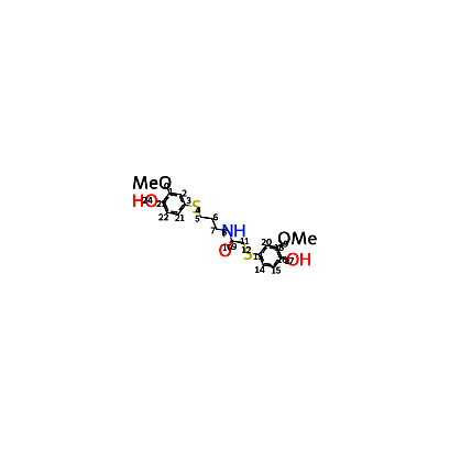 COc1cc(SCCCNC(=O)CSc2ccc(O)c(OC)c2)ccc1O